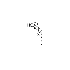 CCCCCCCCC1CSC(c2ccc([C@]3(C(=O)O)COC(C)(C)O3)cc2)SC1